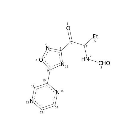 CCC(NC=O)C(=O)c1noc(-c2cnccn2)n1